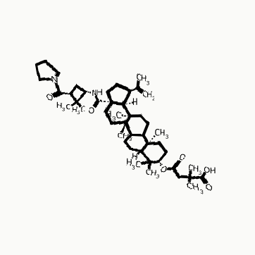 C=C(C)[C@@H]1CC[C@]2(C(=O)N[C@H]3C[C@H](C(=O)N4CCCC4)C3(C)C)CC[C@@]3(C)C4CC[C@H]5C(C)(C)[C@@H](OC(=O)CC(C)(C)C(=O)O)CC[C@]5(C)C4CC[C@]3(C)[C@H]12